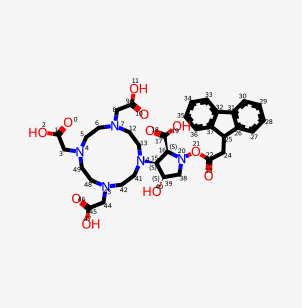 O=C(O)CN1CCN(CC(=O)O)CCN([C@H]2[C@@H](C(=O)O)N(OC(=O)CC3c4ccccc4-c4ccccc43)C[C@@H]2O)CCN(CC(=O)O)CC1